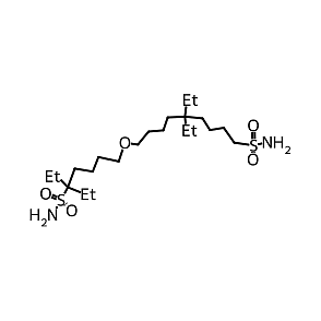 CCC(CC)(CCCCOCCCCC(CC)(CC)S(N)(=O)=O)CCCCS(N)(=O)=O